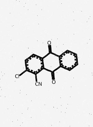 N#Cc1c(Cl)ccc2c1C(=O)c1ccccc1C2=O